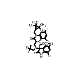 C[C@@H](C(=O)N(CC1C(C)(C)C1(C)C)c1cc(Cl)cc(Cl)c1)[C@H]1CC(F)(F)CN1[C@@]1(CC(=O)O)C(=O)Nc2c(Cl)cc(Cl)cc21